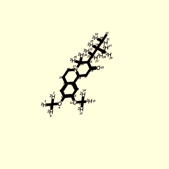 [2H]C([2H])([2H])Oc1cc2c(cc1OC([2H])([2H])[2H])C1CC(=O)C(C([2H])([2H])C([2H])(C([2H])([2H])[2H])C([2H])([2H])C)C([2H])([2H])N1CC2